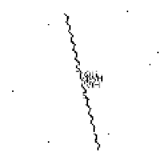 CCCCCCCCCCCCSCCS(CCSCCCCCCCCCCCC)=P(O)(O)S